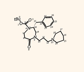 CC(C)(C)OC(=O)N1CCC(=O)N(CCCN2CCCCC2)C[C@H]1Cc1ccccc1